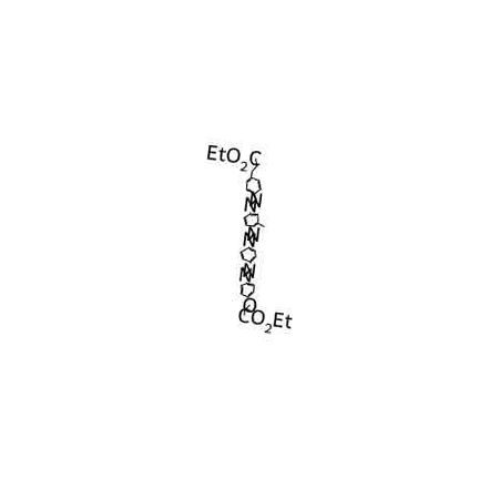 CCOC(=O)CCc1ccc(N=Nc2ccc(N=Nc3ccc(N=Nc4ccc(OCC(=O)OCC)cc4)cc3)c(C)c2)cc1